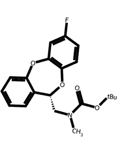 CN(C[C@H]1Oc2ccc(F)cc2Oc2ccccc21)C(=O)OC(C)(C)C